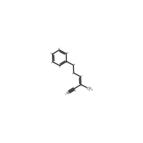 CC(C#N)=CCCc1ccccc1